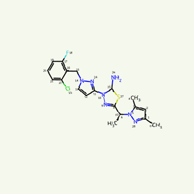 Cc1cc(C)n([C@@H](C)C2=NN(c3ccn(Cc4c(F)cccc4Cl)n3)C(N)S2)n1